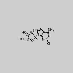 C[C@@]1(n2cnc3c(N)nc(Cl)nc32)O[C@H](CO)[C@@H](O)[C@H]1O